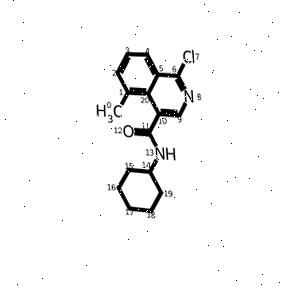 Cc1cccc2c(Cl)ncc(C(=O)NC3CCCCC3)c12